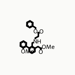 COC(=O)Cc1cccc(-c2ccccc2OC)c1CNCCC(=O)OCc1ccccc1